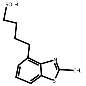 Cc1nc2c(CCCCS(=O)(=O)O)cccc2s1